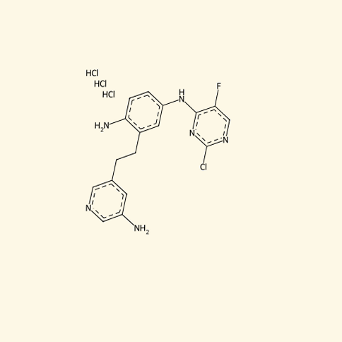 Cl.Cl.Cl.Nc1cncc(CCc2cc(Nc3nc(Cl)ncc3F)ccc2N)c1